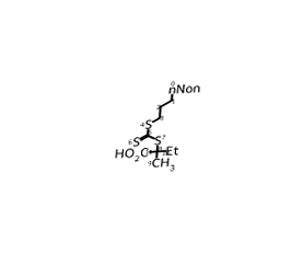 CCCCCCCCCCCCSC(=S)SC(C)(CC)C(=O)O